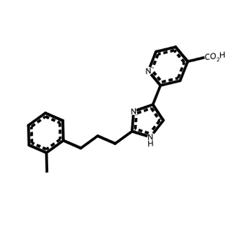 Cc1ccccc1CCCc1nc(-c2cc(C(=O)O)ccn2)c[nH]1